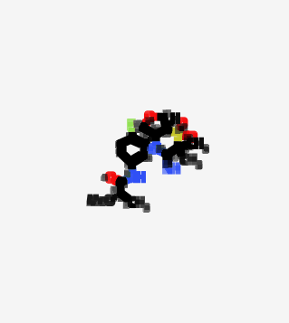 CO[C@@H](C)C(=O)Nc1ccc(F)c([C@]23COC[C@H]2S(=O)(=O)C(C)(C)C(=N)N3)c1